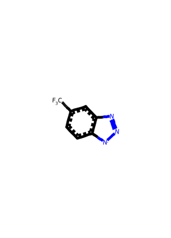 FC(F)(F)c1ccc2c(c1)N=N[N]2